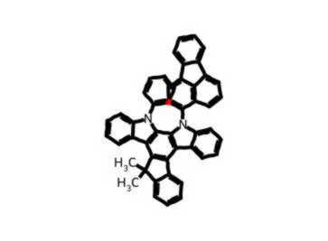 CC1(C)c2ccccc2-c2c1c1c3ccccc3n(-c3ccccc3)c1c1c2c2ccccc2n1-c1ccc2c3c(cccc13)-c1ccccc1-2